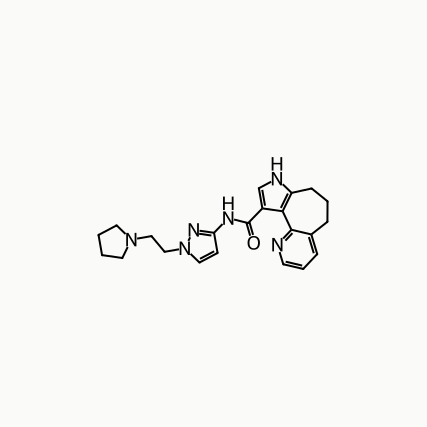 O=C(Nc1ccn(CCN2CCCC2)n1)c1c[nH]c2c1-c1ncccc1CCC2